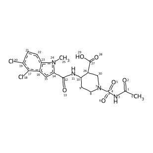 CC(=O)NS(=O)(=O)N1CCC(NC(=O)c2cc3c(Cl)c(Cl)ccc3n2C)C(C(=O)O)C1